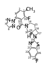 Cc1ccc(-n2nccn2)c(C(=O)N2CCC3CN(c4nc5ccc(F)cc5s4)[C@@H]3C2)c1F